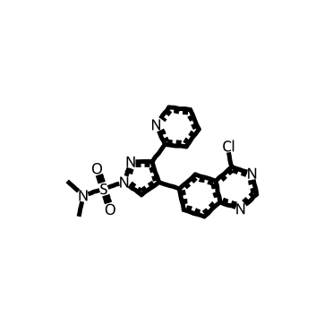 CN(C)S(=O)(=O)n1cc(-c2ccc3ncnc(Cl)c3c2)c(-c2ccccn2)n1